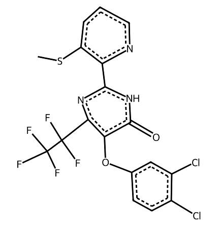 CSc1cccnc1-c1nc(C(F)(F)C(F)(F)F)c(Oc2ccc(Cl)c(Cl)c2)c(=O)[nH]1